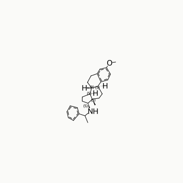 COc1ccc2c(c1)CC[C@@H]1[C@@H]2CC[C@]2(C)[C@@H](NC(C)c3ccccc3)CC[C@@H]12